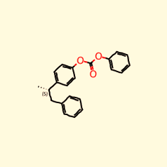 C[C@@H](Cc1ccccc1)c1ccc(OC(=O)Oc2ccccc2)cc1